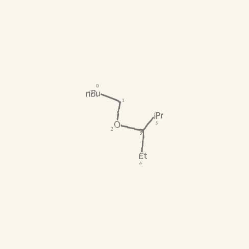 CCCCCOC(CC)C(C)C